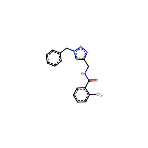 O=C(NCc1cn(Cc2ccccc2)nn1)c1ccccc1C(F)(F)F